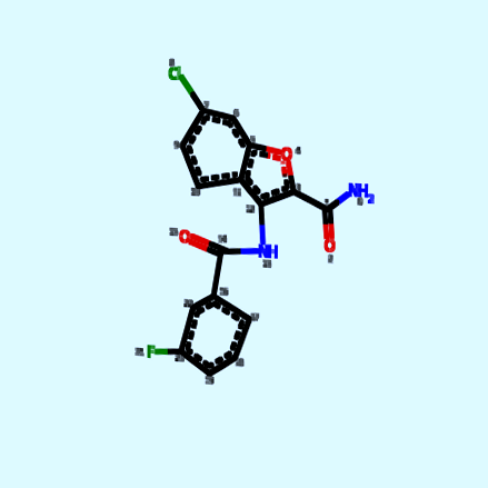 NC(=O)c1oc2cc(Cl)ccc2c1NC(=O)c1cccc(F)c1